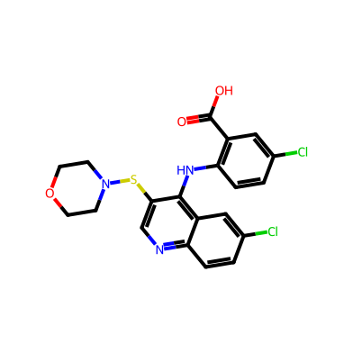 O=C(O)c1cc(Cl)ccc1Nc1c(SN2CCOCC2)cnc2ccc(Cl)cc12